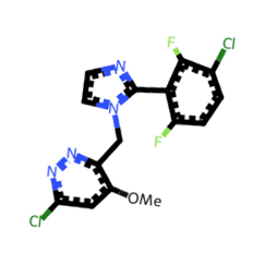 COc1cc(Cl)nnc1Cn1ccnc1-c1c(F)ccc(Cl)c1F